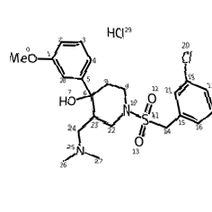 COc1cccc(C2(O)CCN(S(=O)(=O)Cc3cccc(Cl)c3)CC2CN(C)C)c1.Cl